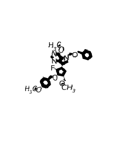 COC[C@H]1C[C@@H](c2cn(COCc3ccccc3)c3c(OC)ncnc23)[C@@H](F)[C@@H]1OCc1ccc(OC)cc1